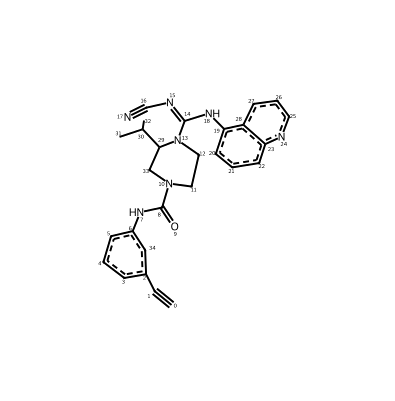 C#Cc1cccc(NC(=O)N2CCN(/C(=N\C#N)Nc3cccc4ncccc34)C(C(C)C)C2)c1